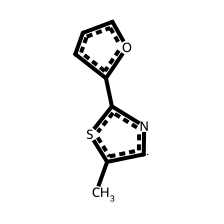 Cc1[c]nc(-c2ccco2)s1